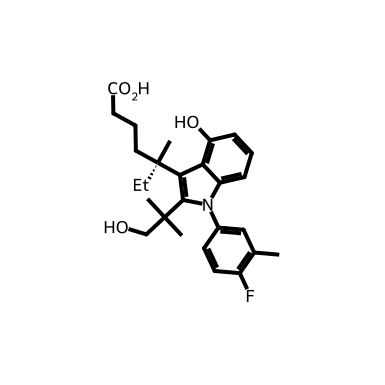 CC[C@@](C)(CCCC(=O)O)c1c(C(C)(C)CO)n(-c2ccc(F)c(C)c2)c2cccc(O)c12